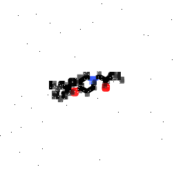 CC(=O)CN1CCC(OC(C)(C)C)CC1